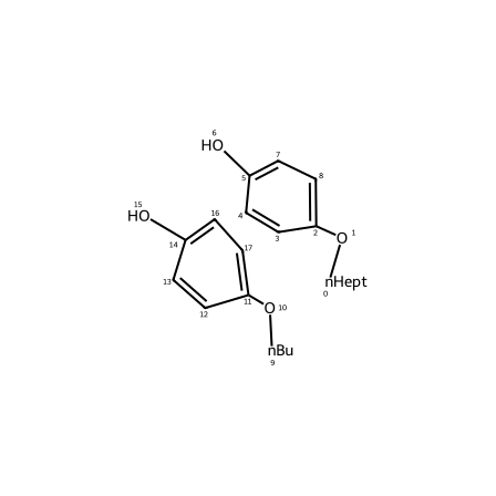 CCCCCCCOc1ccc(O)cc1.CCCCOc1ccc(O)cc1